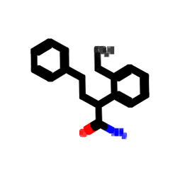 NC(=O)C(CCc1ccccc1)c1ccccc1CC(=O)O